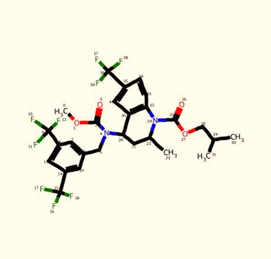 COC(=O)N(Cc1cc(C(F)(F)F)cc(C(F)(F)F)c1)C1CC(C)N(C(=O)OCC(C)C)c2ccc(C(F)(F)F)cc21